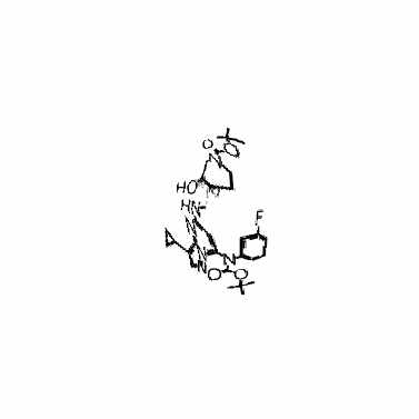 CC(C)(C)OC(=O)N1CC[C@H](CNc2cc(N(C(=O)OC(C)(C)C)c3cccc(F)c3)n3ncc(C4CC4)c3n2)[C@@H](O)C1